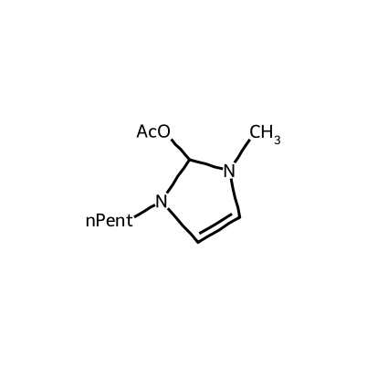 CCCCCN1C=CN(C)C1OC(C)=O